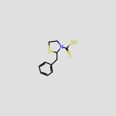 S=C(S)N1CCSC1Cc1ccccc1